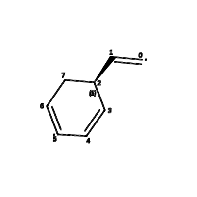 [CH]=C[C@H]1C=C[C]=CC1